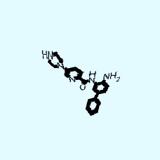 Nc1ccc(-c2ccccc2)cc1NC(=O)c1ccc(N2CCNCC2)cn1